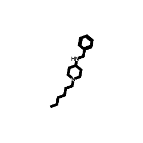 CCCCCCN1CCC(NCc2ccccc2)CC1